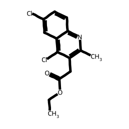 CCOC(=O)Cc1c(C)nc2ccc(Cl)cc2c1Cl